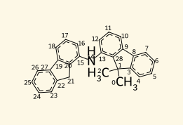 CC1(C)c2ccccc2-c2cccc(Nc3cccc4c3Cc3ccccc3-4)c21